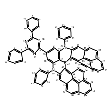 c1ccc(-c2nc(-c3ccccc3)nc(-c3cc4c5c(c3)N(c3ccccc3)c3cc6ccc7cccc8ccc(c3B5c3c(cc5ccc9cccc%10ccc3c5c9%10)N4c3ccccc3)c6c78)n2)cc1